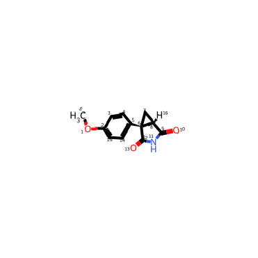 COc1ccc([C@@]23C[C@@H]2C(=O)NC3=O)cc1